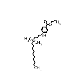 CCCCCCCCCC[Si](C)(C)CCCNc1ccc(C(=O)OCC)cc1